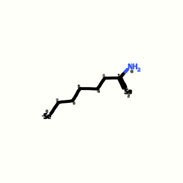 NC(=[Se])CCCCC[Se]